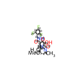 CO[C@@]1(C)CC[C@H](C)N2C[C@H]1n1cc(C(=O)NCc3c(F)cc(F)cc3F)c(=O)c(O)c1C2=O